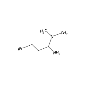 CC(C)CCC(N)N(C)C